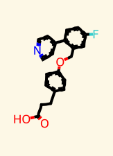 O=C(O)CCc1ccc(OCc2cc(F)ccc2-c2ccncc2)cc1